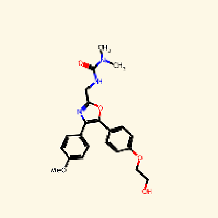 COc1ccc(-c2nc(CNC(=O)N(C)C)oc2-c2ccc(OCCO)cc2)cc1